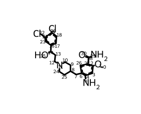 COc1cc(N)c(CC2CCN(CCC(O)c3ccc(Cl)c(Cl)c3)CC2)cc1C(N)=O